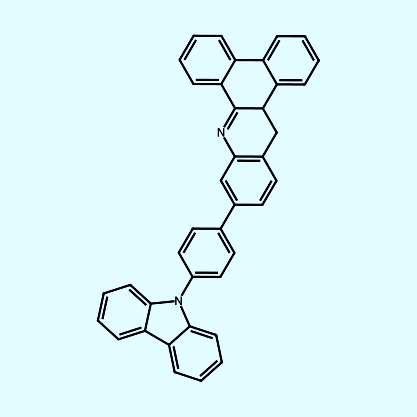 c1ccc2c(c1)C1=Nc3cc(-c4ccc(-n5c6ccccc6c6ccccc65)cc4)ccc3CC1c1ccccc1-2